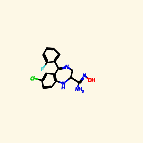 NC(=NO)C1CN=C(c2ccccc2F)c2cc(Cl)ccc2N1